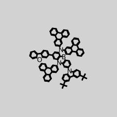 CC(C)(C)c1ccc2c(c1)c1cc(C(C)(C)C)ccc1n2-c1ccc2c(c1)N(c1ccc3c4ccccc4c4ccccc4c3c1)c1cc(-c3ccc4c(c3)oc3ccccc34)cc3c1B2c1cc2c4ccccc4c4ccccc4c2cc1N3c1ccc2c3ccccc3c3ccccc3c2c1